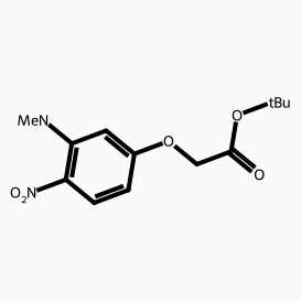 CNc1cc(OCC(=O)OC(C)(C)C)ccc1[N+](=O)[O-]